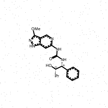 COc1n[nH]c2cc(NC(=O)N[C@H](c3ccccc3)[C@@H](O)C(C)C)ncc12